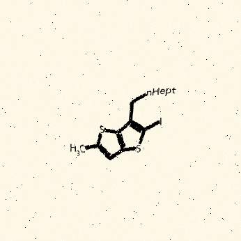 CCCCCCCCc1c(I)sc2cc(C)sc12